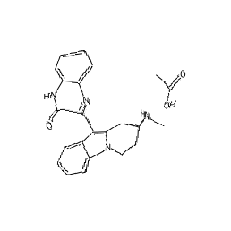 CC(=O)O.CNC1CCn2c(c(-c3nc4ccccc4[nH]c3=O)c3ccccc32)C1